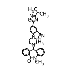 CC(C)c1noc(-c2ccc(N3CCN(C4c5ccccc5C(=O)N(C)c5ccccc54)C[C@H]3C)c(C#N)c2)n1